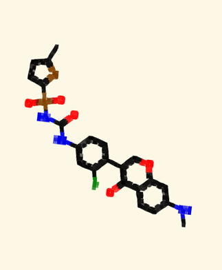 CNc1ccc2c(=O)c(-c3ccc(NC(=O)NS(=O)(=O)c4ccc(C)s4)cc3F)coc2c1